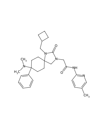 Cc1ccc(NC(=O)CN2CC3(CCC(c4ccccc4)(N(C)C)CC3)N(CC3CCC3)C2=O)nc1